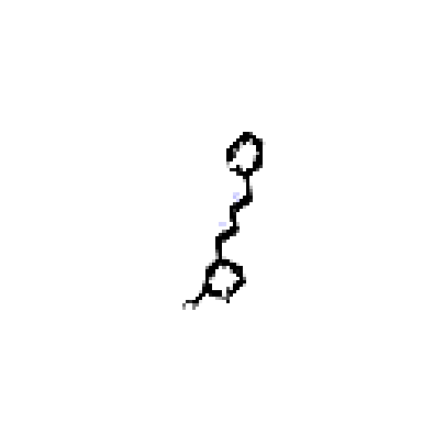 Clc1cc(/C=C/C=C/c2ccccn2)ccn1